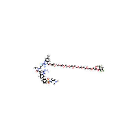 CCCN(CCCN/C(=N/c1cccc(C#N)c1)NCCOCCOCCOCCOCCOCCOCCOCCOCCOCCOCCC(=O)Oc1c(F)c(F)cc(F)c1F)C(=O)C1=Cc2ccc(-c3cccc(S(=O)(=O)N4CC(CN(C)C)C4)c3)cc2N=C(N)C1